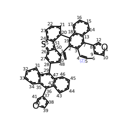 C=Cc1c(/C=C\C)c(-c2ccoc2)c2ccccc2c1-c1cccc2sc3cc(-c4c5ccccc5c(-c5ccoc5)c5ccccc45)ccc3c12